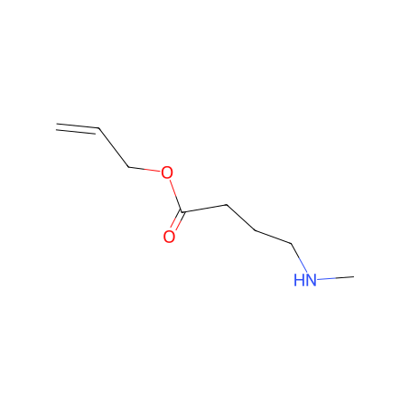 C=CCOC(=O)CCCNC